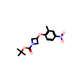 Cc1cc([N+](=O)[O-])ccc1OC1CN(C(=O)OC(C)(C)C)C1